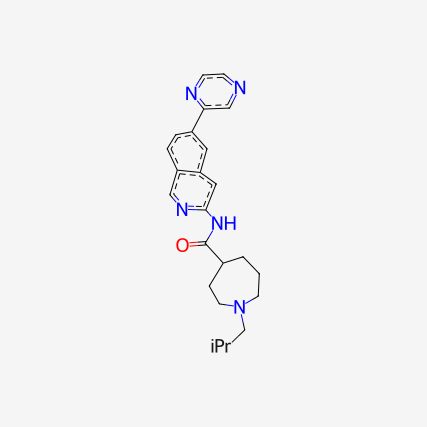 CC(C)CN1CCCC(C(=O)Nc2cc3cc(-c4cnccn4)ccc3cn2)CC1